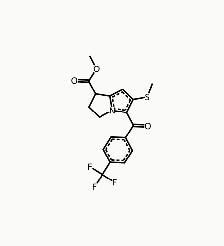 COC(=O)C1CCn2c1cc(SC)c2C(=O)c1ccc(C(F)(F)F)cc1